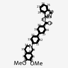 COc1cc2c(cc1OC)CN(c1ccc(-c3ccc(C(=O)On4nnc5ccccc54)cc3)cc1)CC2